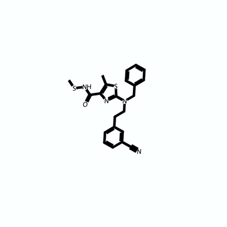 CSNC(=O)c1nc(N(CCc2cccc(C#N)c2)Cc2ccccc2)sc1C